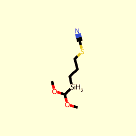 COC(OC)[SiH2]CCCSC#N